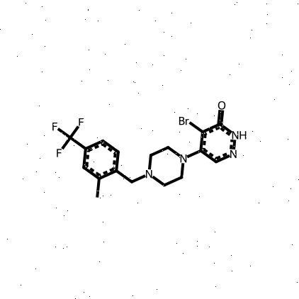 Cc1cc(C(F)(F)F)ccc1CN1CCN(c2cn[nH]c(=O)c2Br)CC1